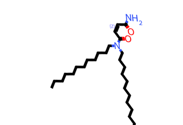 CCCCCCCCCCCCN(CCCCCCCCCCCC)C(=O)/C=C\C(N)=O